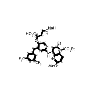 CCOC(=O)N1c2ccc(OC)nc2[C@@H](Nc2ncc(OC(CCO)C(=O)O)c(Cc3cc(C(F)(F)F)cc(C(F)(F)F)c3)n2)C[C@H]1CC.[NaH]